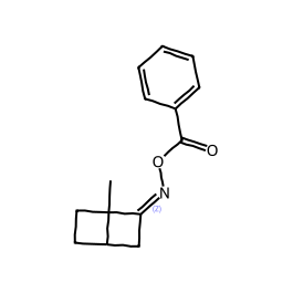 CC12CCC1C/C2=N/OC(=O)c1ccccc1